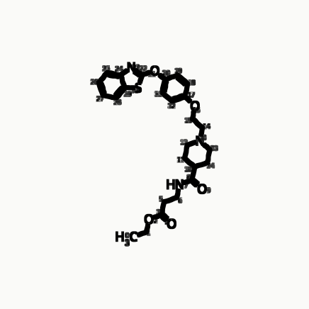 CCOC(=O)CCNC(=O)C1CCN(CCOc2ccc(Oc3nc4ccccc4s3)cc2)CC1